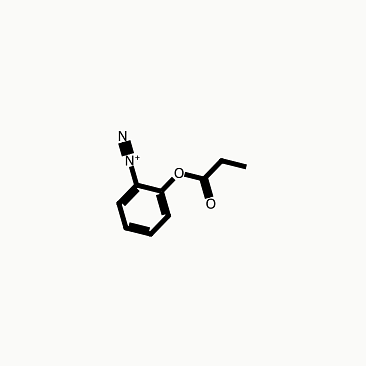 CCC(=O)Oc1ccccc1[N+]#N